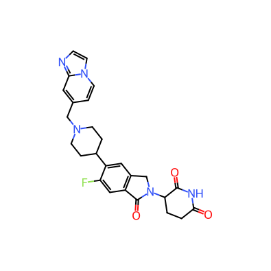 O=C1CCC(N2Cc3cc(C4CCN(Cc5ccn6ccnc6c5)CC4)c(F)cc3C2=O)C(=O)N1